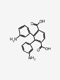 Nc1cccc(-c2c(C(=O)O)ccc(C(=O)O)c2-c2cccc(N)c2)c1